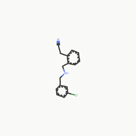 N#CCc1ccccc1CNCc1cccc(Cl)c1